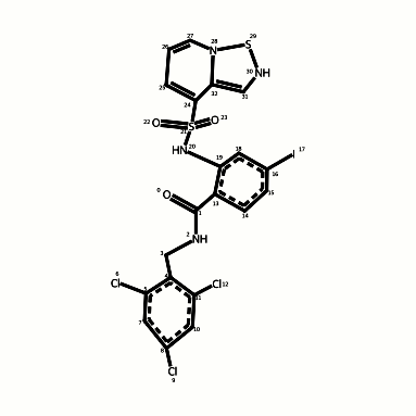 O=C(NCc1c(Cl)cc(Cl)cc1Cl)c1ccc(I)cc1NS(=O)(=O)C1=CC=CN2SNC=C12